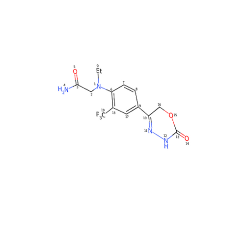 CCN(CC(N)=O)c1ccc(C2=NNC(=O)OC2)cc1C(F)(F)F